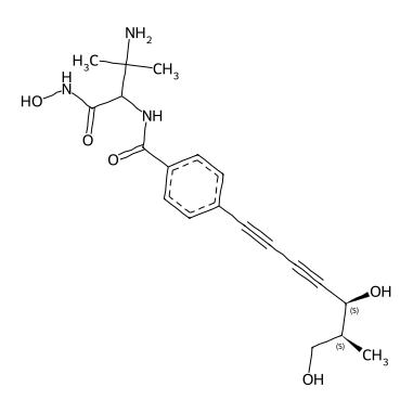 C[C@@H](CO)[C@H](O)C#CC#Cc1ccc(C(=O)NC(C(=O)NO)C(C)(C)N)cc1